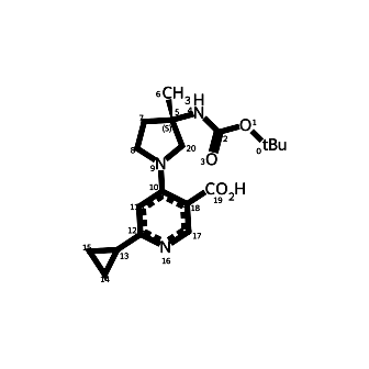 CC(C)(C)OC(=O)N[C@@]1(C)CCN(c2cc(C3CC3)ncc2C(=O)O)C1